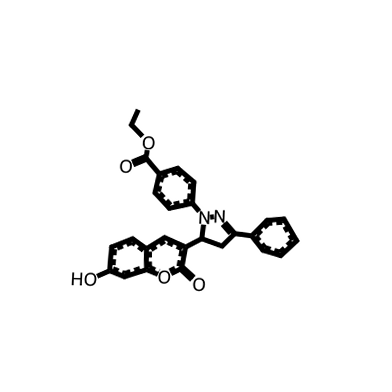 CCOC(=O)c1ccc(N2N=C(c3ccccc3)CC2c2cc3ccc(O)cc3oc2=O)cc1